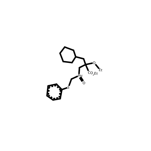 CCOC(=O)C(CC1CCCCC1)(C[PH](=O)CSc1ccccc1)OCC